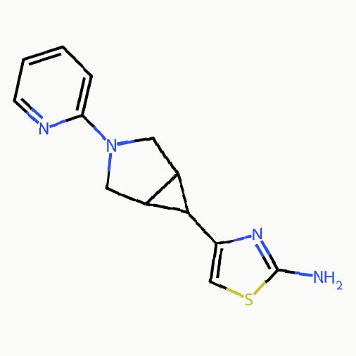 Nc1nc(C2C3CN(c4ccccn4)CC32)cs1